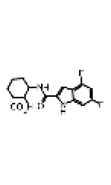 O=C(NC1CCCCC1C(=O)O)c1cc2c(F)cc(F)cc2[nH]1